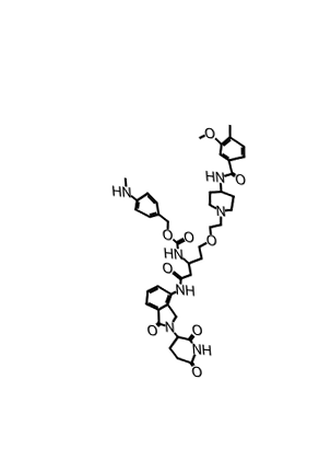 CNc1ccc(COC(=O)NC(CCOCCN2CCC(NC(=O)c3ccc(C)c(OC)c3)CC2)CC(=O)Nc2cccc3c2CN(C2CCC(=O)NC2=O)C3=O)cc1